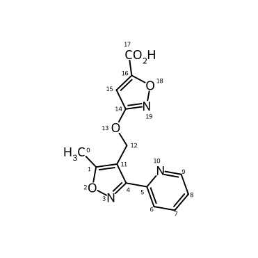 Cc1onc(-c2ccccn2)c1COc1cc(C(=O)O)on1